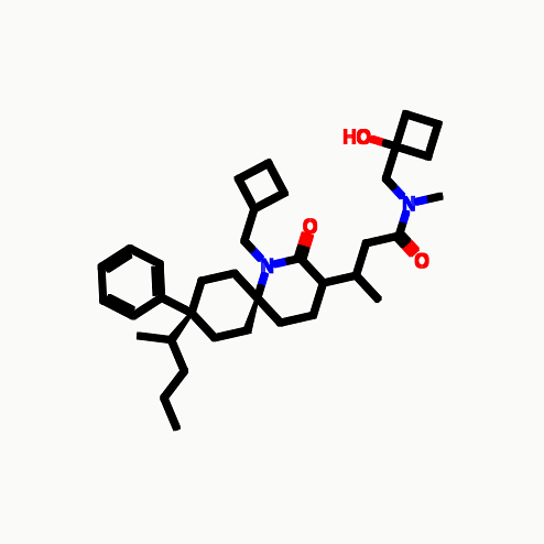 CCCC(C)[C@]1(c2ccccc2)CC[C@@]2(CCC(C(C)CC(=O)N(C)CC3(O)CCC3)C(=O)N2CC2CCC2)CC1